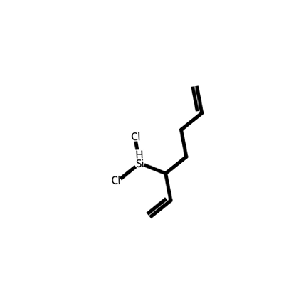 C=CCCC(C=C)[SiH](Cl)Cl